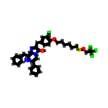 O=c1c(Cc2ccc(OCCCCCCSOCC(Cl)(Cl)Cl)c(Cl)c2)nc2c(Cc3ccccc3)[nH]c(-c3ccccc3)cn1-2